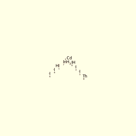 I.I.[Cd].[I].[I].[I].[I].[InH3].[Th]